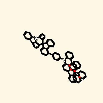 c1ccc(-c2ccc(-c3ccccc3N(c3ccc(-c4cccc5c4-c4ccccc4C54c5ccccc5-n5c6ccccc6c6cccc4c65)cc3)c3ccc4c(c3)C(c3ccccc3)(c3ccccc3)c3ccccc3-4)cc2)cc1